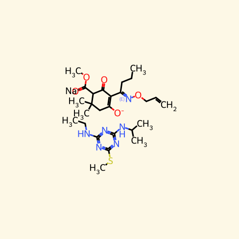 C=CCO/N=C(\CCC)C1=C([O-])CC(C)(C)C(C(=O)OC)C1=O.CCNc1nc(NC(C)C)nc(SC)n1.[Na+]